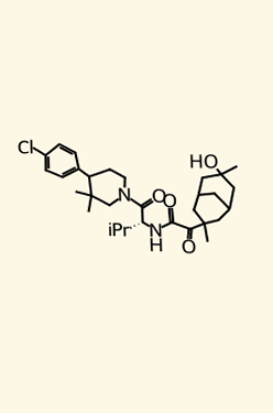 CC(C)[C@@H](NC(=O)C(=O)C1(C)CC2CC(CC(C)(O)C2)C1)C(=O)N1CCC(c2ccc(Cl)cc2)C(C)(C)C1